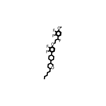 CCCCCC1CCC(C2CCC(c3ccc(OCCC(F)c4ccc(OC)c(F)c4F)c(F)c3F)CC2)CO1